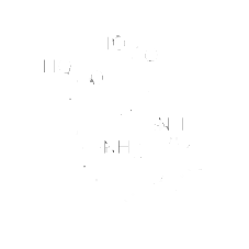 O=C(O)CCCc1cc2ccccc2[nH]1.O=C(O)CCCc1cc2ccccc2[nH]1